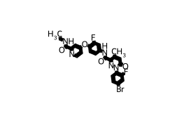 CCNC(=O)c1cc(Oc2ccc(NC(=O)c3nn(-c4ccc(Br)cc4F)c(=O)cc3C)cc2F)ccn1